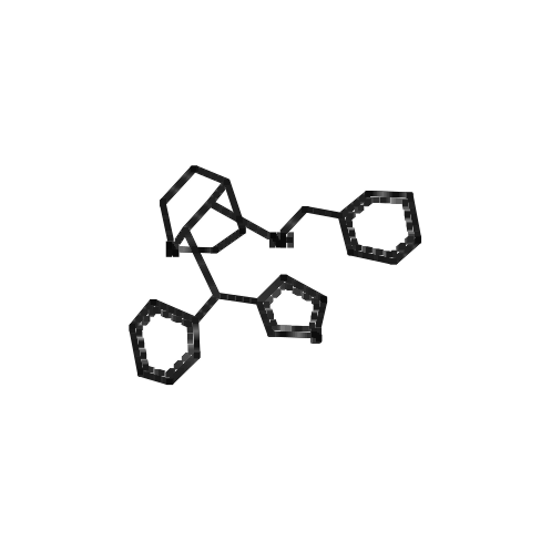 c1ccc(CNC2C3CCN(CC3)C2C(c2ccccc2)c2ccsc2)cc1